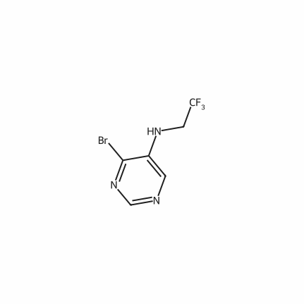 FC(F)(F)CNc1cncnc1Br